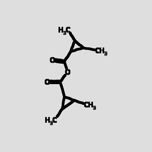 CC1C(C)C1C(=O)OC(=O)C1C(C)C1C